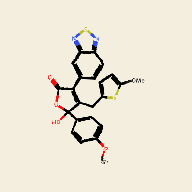 CCCOc1ccc(C2(O)OC(=O)C(c3ccc4nsnc4c3)=C2Cc2ccc(OC)s2)cc1